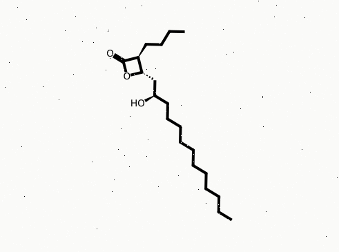 CCCCCCCCCCC[C@@H](O)C[C@@H]1OC(=O)[C@H]1CCCC